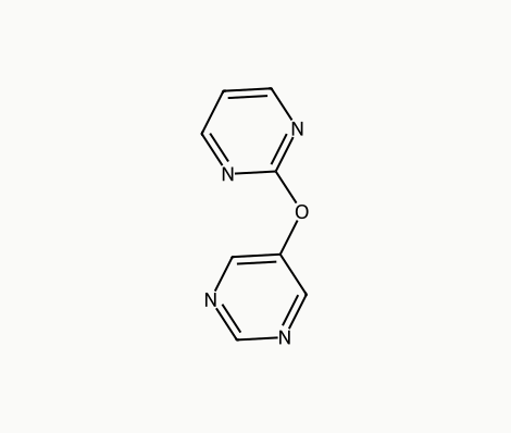 c1cnc(Oc2cncnc2)nc1